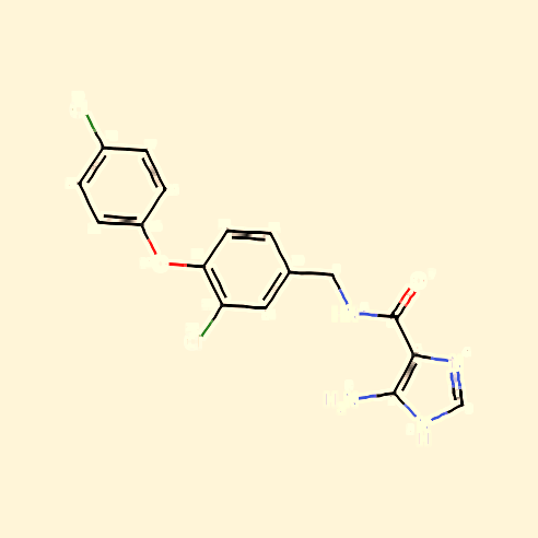 Nc1[nH]cnc1C(=O)NCc1ccc(Oc2ccc(Cl)cc2)c(Cl)c1